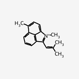 CC(C)=CC1=[N+](C)c2ccc(C)c3cccc1c23